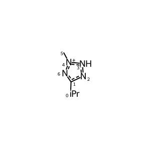 CC(C)c1n[nH][n+](C)n1